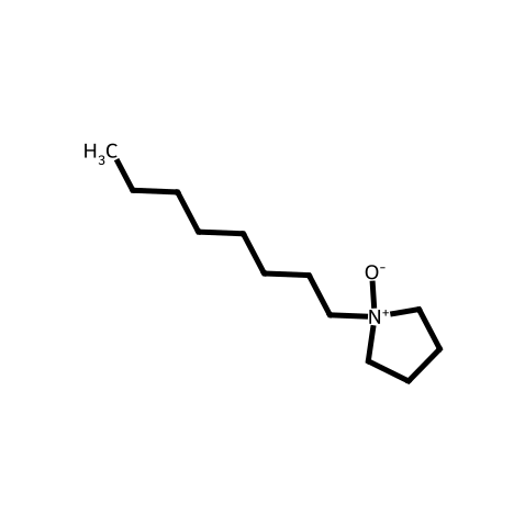 CCCCCCCC[N+]1([O-])CCCC1